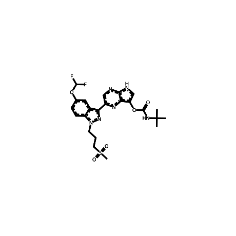 CC(C)(C)NC(=O)Oc1c[nH]c2ncc(-c3nn(CCCS(C)(=O)=O)c4ccc(OC(F)F)cc34)nc12